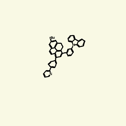 CC(C)(C)c1cc2c3c(ccc4c(-c5ccc(-c6ccccn6)cc5)cc(-c5cccc(-n6c7ccccc7c7ccccc76)c5)c(c43)CC2)c1